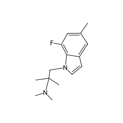 Cc1cc(F)c2c(ccn2CC(C)(C)N(C)C)c1